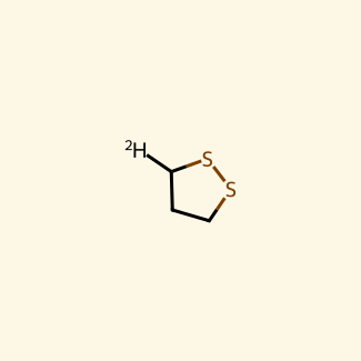 [2H]C1CCSS1